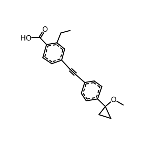 CCc1cc(C#Cc2ccc(C3(OC)CC3)cc2)ccc1C(=O)O